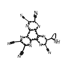 N#Cc1nc2c3nc(C#N)c(C#N)nc3c3nc(C4CN4)c(C#N)nc3c2nc1C#N